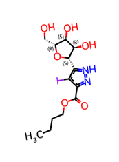 CCCCOC(=O)c1n[nH]c([C@@H]2O[C@H](CO)[C@@H](O)[C@H]2O)c1I